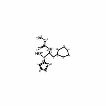 CC(C)(C)OC(=O)NC(CC1CCCCC1)[C@H](O)c1ccco1